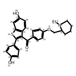 CCN1CCCCC1COc1ccc(C(=O)c2c(-c3ccc(O)cc3)sc3cc(O)ccc23)cc1